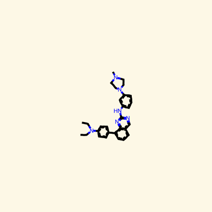 CCN(CC)c1ccc(-c2cccc3cnc(Nc4cccc(N5CCN(C)CC5)c4)nc23)cc1